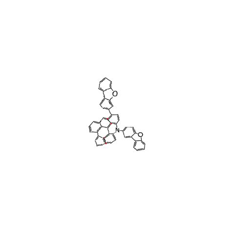 c1ccc(-c2cccc3cccc(-c4ccccc4N(c4ccc(-c5ccc6c(c5)oc5ccccc56)cc4)c4ccc5oc6ccccc6c5c4)c23)cc1